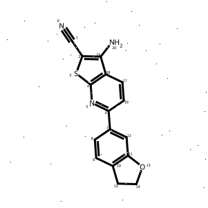 N#Cc1sc2nc(-c3ccc4c(c3)OCC4)ccc2c1N